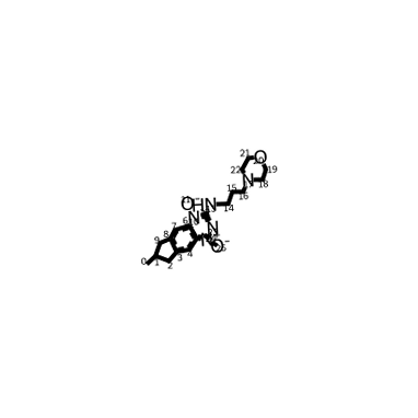 CC1Cc2cc3c(cc2C1)[n+]([O-])c(NCCCN1CCOCC1)n[n+]3[O-]